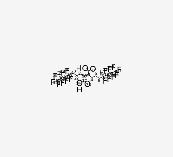 O=C(O)C(CCCC(F)(F)C(F)(F)C(F)(F)C(F)(F)F)=C(CCCC(F)(F)C(F)(F)C(F)(F)C(F)(F)F)C(=O)O